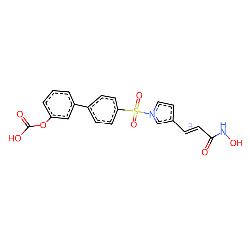 O=C(/C=C/c1ccn(S(=O)(=O)c2ccc(-c3cccc(OC(=O)O)c3)cc2)c1)NO